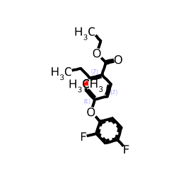 C\C=C(/C=C\C(C(=O)OCC)=C(/C)CC)Oc1ccc(F)cc1F